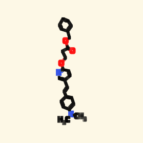 CN(C)c1ccc(/C=C/c2ccc(OCCC(=O)OCc3ccccc3)nc2)cc1